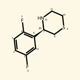 Fc1ccc(F)c([C@@H]2CSCCN2)c1